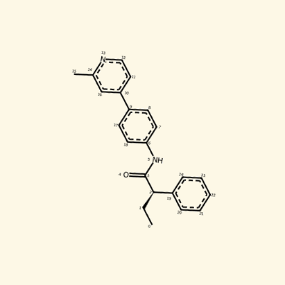 CC[C@@H](C(=O)Nc1ccc(-c2ccnc(C)c2)cc1)c1ccccc1